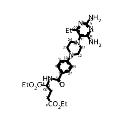 CCOC(=O)CC[C@H](NC(=O)c1ccc(N2CCN(c3c(N)nc(N)nc3CC)CC2)cc1)C(=O)OCC